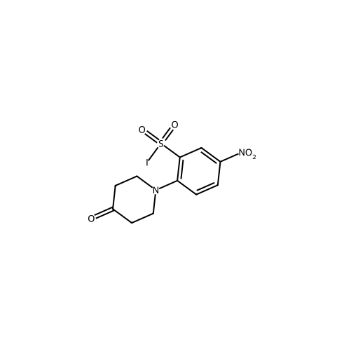 O=C1CCN(c2ccc([N+](=O)[O-])cc2S(=O)(=O)I)CC1